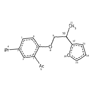 CC(=O)c1cc(C(C)C)ccc1OCC(C)c1ccco1